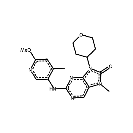 COc1cc(C)c(Nc2ncc3c(n2)n(C2CCOCC2)c(=O)n3C)cn1